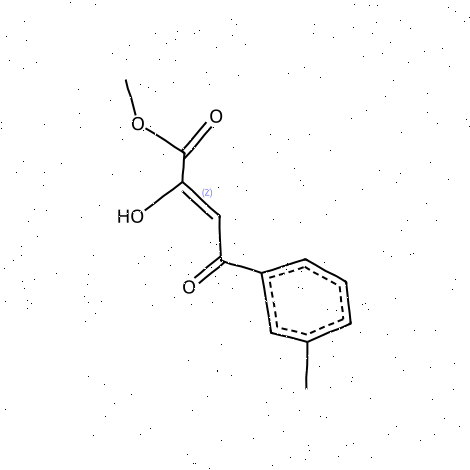 COC(=O)/C(O)=C/C(=O)c1cccc(C)c1